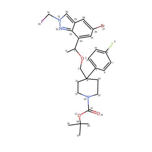 CC(OCC1(c2ccc(F)cc2)CCN(C(=O)OC(C)(C)C)CC1)c1cc(Br)cc2cn(CI)nc12